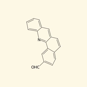 O=Cc1ccc2ccc3cc4ccccc4nc3c2c1